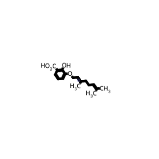 CC(C)=CCC/C(C)=C/COc1cccc(C(=O)O)c1O